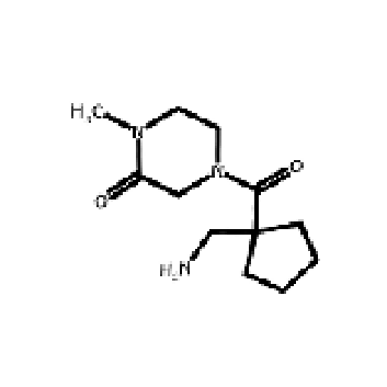 CN1CCN(C(=O)C2(CN)CCCC2)CC1=O